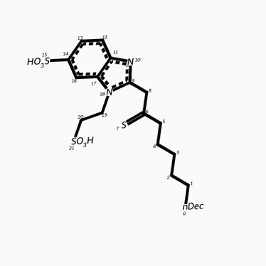 CCCCCCCCCCCCCCCC(=S)Cc1nc2ccc(S(=O)(=O)O)cc2n1CCS(=O)(=O)O